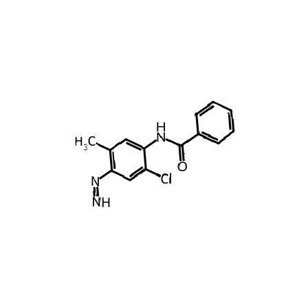 Cc1cc(NC(=O)c2ccccc2)c(Cl)cc1N=N